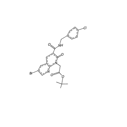 CC(C)(C)OC(=O)Cn1c(=O)c(C(=O)NCc2ccc(Cl)cc2)cc2cc(Br)cnc21